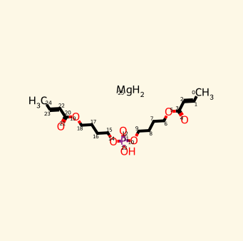 CC=CC(=O)OCCCCOP(=O)(O)OCCCCOC(=O)C=CC.[MgH2]